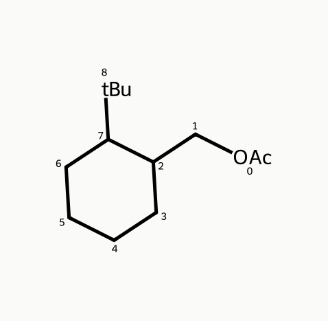 CC(=O)OCC1CCCCC1C(C)(C)C